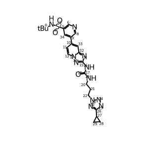 CC(C)(C)NS(=O)(=O)c1cncc(-c2ccn3nc(NC(=O)NCCCn4nnc(C5CC5)n4)nc3c2)c1